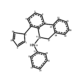 C1=CC(c2cccc3c2B(Nc2ccccc2)Cc2ccccc2-3)C=C1